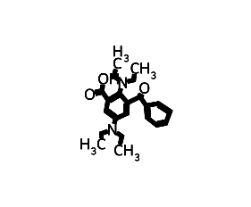 CCN(CC)c1cc(C(=O)O)c(N(CC)CC)c(C(=O)c2ccccc2)c1